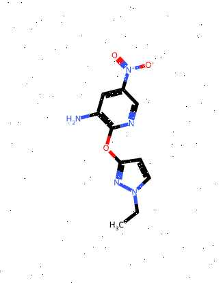 CCn1ccc(Oc2ncc([N+](=O)[O-])cc2N)n1